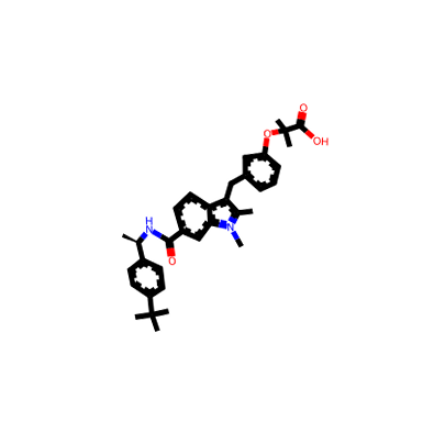 Cc1c(Cc2cccc(OC(C)(C)C(=O)O)c2)c2ccc(C(=O)N[C@H](C)c3ccc(C(C)(C)C)cc3)cc2n1C